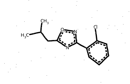 CC(C)Cc1nc(-c2ccccc2Cl)no1